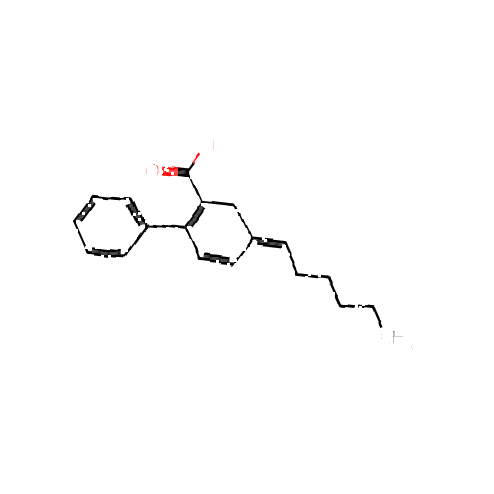 CCCCCC=C1C=CC(c2ccccc2)=C(C(=O)O)C1